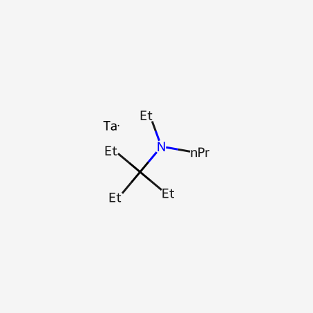 CCCN(CC)C(CC)(CC)CC.[Ta]